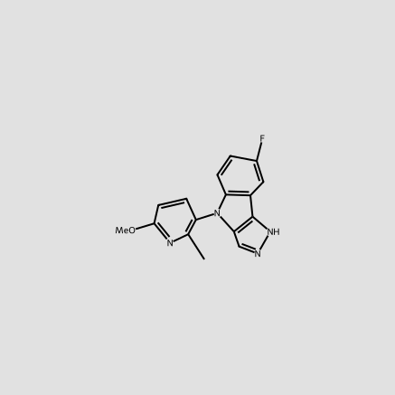 COc1ccc(-n2c3ccc(F)cc3c3[nH]ncc32)c(C)n1